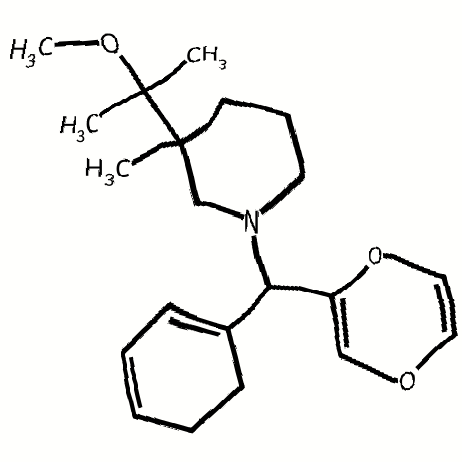 COC(C)(C)C1(C)CCCN(C(C2=CC=CCC2)C2=COC=CO2)C1